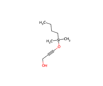 CCCC[Si](C)(C)OC#CCO